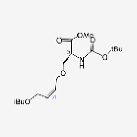 COC(=O)[C@H](COC/C=C\COCC(C)C)NC(=O)OC(C)(C)C